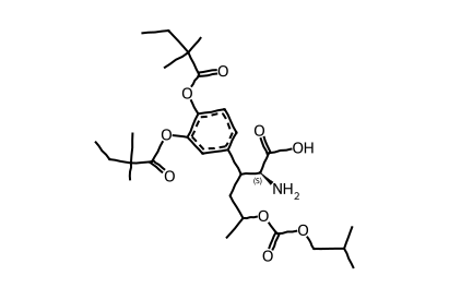 CCC(C)(C)C(=O)Oc1ccc(C(CC(C)OC(=O)OCC(C)C)[C@H](N)C(=O)O)cc1OC(=O)C(C)(C)CC